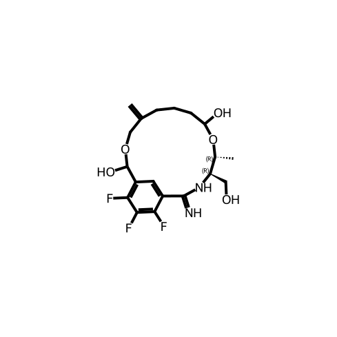 C=C1CCCC(O)O[C@H](C)[C@@H](CO)NC(=N)c2cc(c(F)c(F)c2F)C(O)OC1